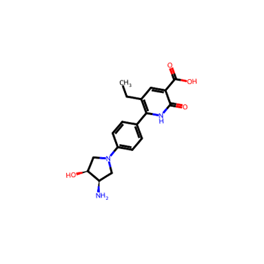 CCc1cc(C(=O)O)c(=O)[nH]c1-c1ccc(N2C[C@@H](N)[C@@H](O)C2)cc1